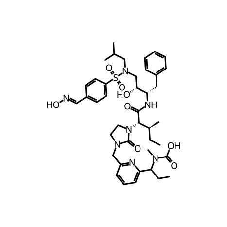 CCC(c1cccc(CN2CCN([C@H](C(=O)N[C@@H](Cc3ccccc3)[C@H](O)CN(CC(C)C)S(=O)(=O)c3ccc(C=NO)cc3)[C@@H](C)CC)C2=O)n1)N(C)C(=O)O